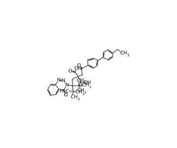 CCc1ccc(-c2ccc(C(=O)CC(CC(n3nnc4ccccc4c3=O)(C(C)(C)C)C(C)(C)C)(C(=O)O)C(=O)O)cc2)cc1